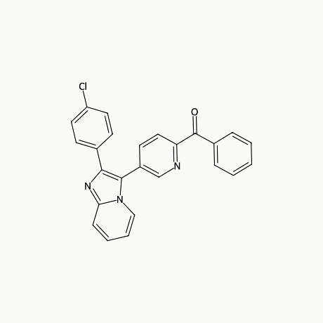 O=C(c1ccccc1)c1ccc(-c2c(-c3ccc(Cl)cc3)nc3ccccn23)cn1